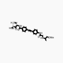 COCC(C)NCC(=O)Nc1ccc(C#Cc2ccc(C(=O)N[C@@H](CN)C(=O)NO)cc2)cc1